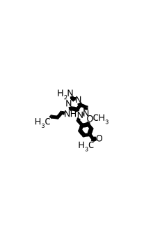 CCCCNc1nc(N)nc2cnn(Cc3ccc(C(C)=O)cc3OC)c12